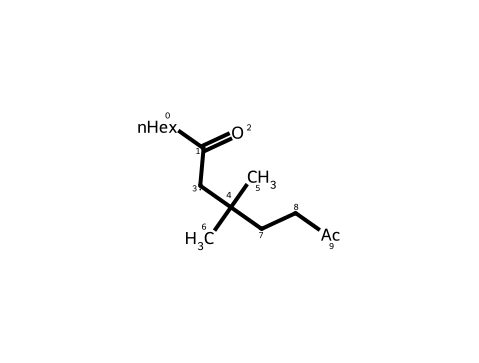 CCCCCCC(=O)[CH]C(C)(C)CCC(C)=O